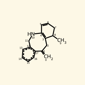 C=C1CC2=C(C=CCC2C)NCc2ccccc21